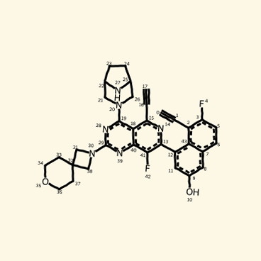 C#Cc1c(F)ccc2cc(O)cc(-c3nc(C#C)c4c(N5CC6CCC(C5)N6)nc(N5CC6(CCOCC6)C5)nc4c3F)c12